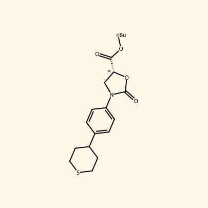 CCCCOC(=O)[C@H]1CN(c2ccc(C3CCSCC3)cc2)C(=O)O1